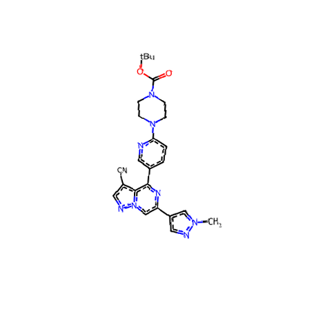 Cn1cc(-c2cn3ncc(C#N)c3c(-c3ccc(N4CCN(C(=O)OC(C)(C)C)CC4)nc3)n2)cn1